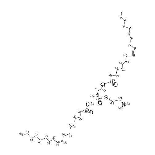 CCCCCCCC/C=C\CCCCCCCC(=O)OCCN(CCOC(=O)CCCCCCC/C=C\CCCCCCCC)C(=O)SCCN(C)C